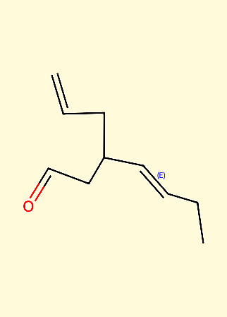 C=CCC(/C=C/CC)CC=O